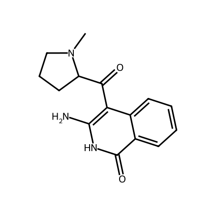 CN1CCCC1C(=O)c1c(N)[nH]c(=O)c2ccccc12